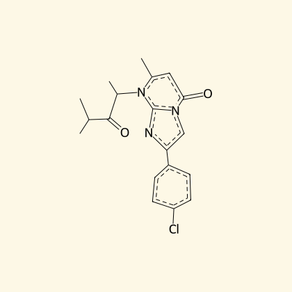 Cc1cc(=O)n2cc(-c3ccc(Cl)cc3)nc2n1C(C)C(=O)C(C)C